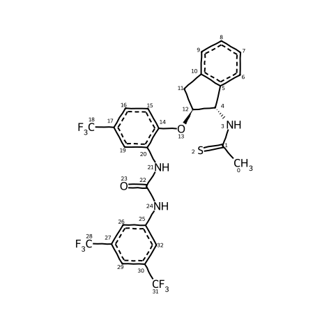 CC(=S)N[C@H]1c2ccccc2C[C@@H]1Oc1ccc(C(F)(F)F)cc1NC(=O)Nc1cc(C(F)(F)F)cc(C(F)(F)F)c1